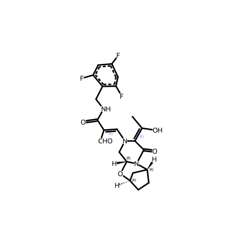 C/C(O)=C1/C(=O)N2[C@@H]3CC[C@H](C3)O[C@@H]2CN1/C=C(\C=O)C(=O)NCc1c(F)cc(F)cc1F